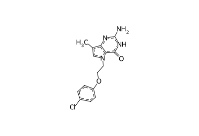 Cc1cn(CCOc2ccc(Cl)cc2)c2c(=O)[nH]c(N)nc12